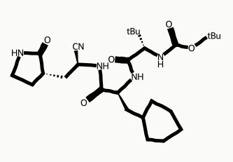 CC(C)(C)OC(=O)N[C@H](C(=O)N[C@@H](CC1CCCCC1)C(=O)N[C@H](C#N)C[C@@H]1CCNC1=O)C(C)(C)C